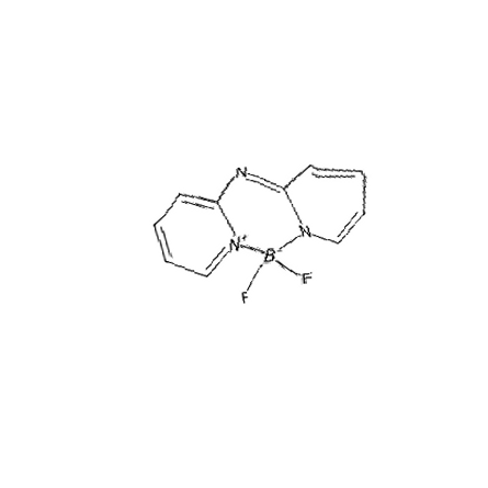 F[B-]1(F)N2C=CC=CC2=Nc2cccc[n+]21